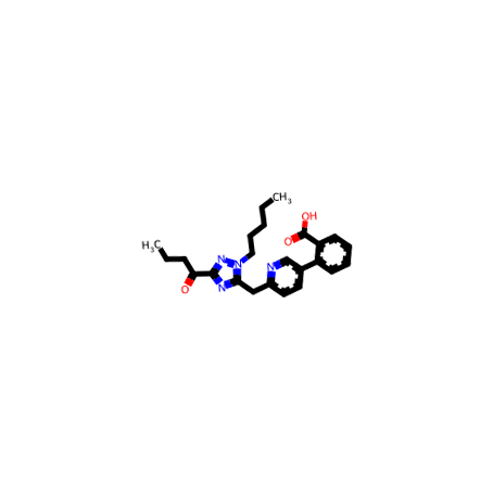 CCCCCn1nc(C(=O)CCC)nc1Cc1ccc(-c2ccccc2C(=O)O)cn1